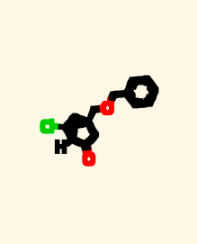 O=C1C[C@]2(COCc3ccccc3)C[C@H]1[C@@H](Cl)C2